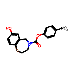 O=C(Oc1ccc([N+](=O)[O-])cc1)N1CCSc2ccc(O)cc2C1